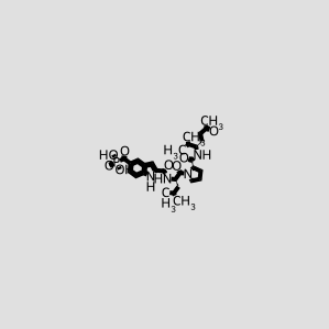 CC(=O)CC[C@H](NC(=O)[C@@H]1CCCN1C(=O)[C@H](CC(C)C)NC(=O)c1cc2cc(C(=O)P(=O)(O)O)ccc2[nH]1)C(C)C